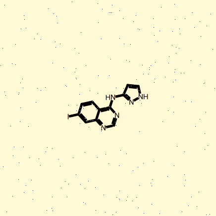 Ic1ccc2c(Nc3cc[nH]n3)n[c]nc2c1